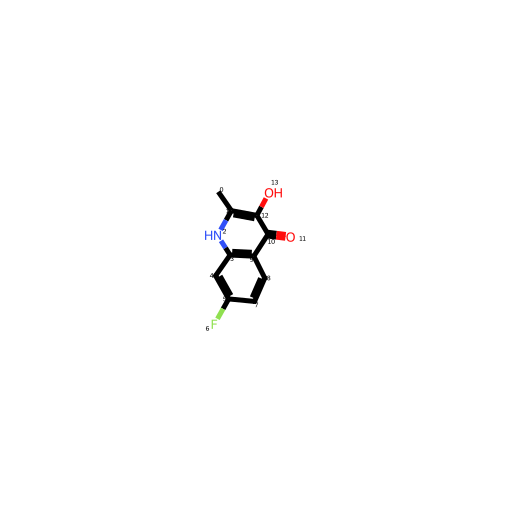 Cc1[nH]c2cc(F)ccc2c(=O)c1O